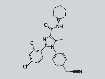 Cc1c(C(=O)NN2CCCCC2)nc(-c2ccc(Cl)cc2Cl)n1-c1ccc(CC#N)cc1